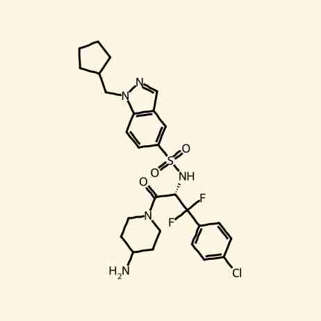 NC1CCN(C(=O)[C@H](NS(=O)(=O)c2ccc3c(cnn3CC3CCCC3)c2)C(F)(F)c2ccc(Cl)cc2)CC1